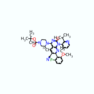 COc1cccc(F)c1-c1nc2c(cc1C#N)c(N1CCN(C(=O)OC(C)(C)C)C[C@@H]1C)nc(=O)n2-c1c(C)ccnc1C(C)C